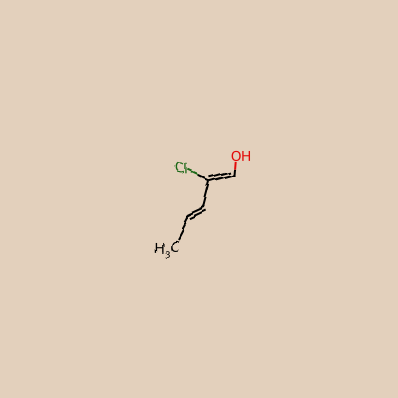 CC=CC(Cl)=CO